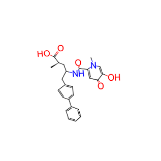 C[C@H](CC(Cc1ccc(-c2ccccc2)cc1)NC(=O)c1cc(=O)c(O)cn1C)C(=O)O